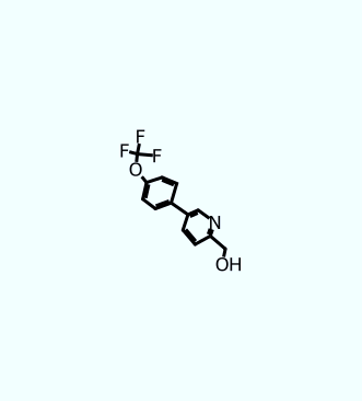 OCc1ccc(-c2ccc(OC(F)(F)F)cc2)cn1